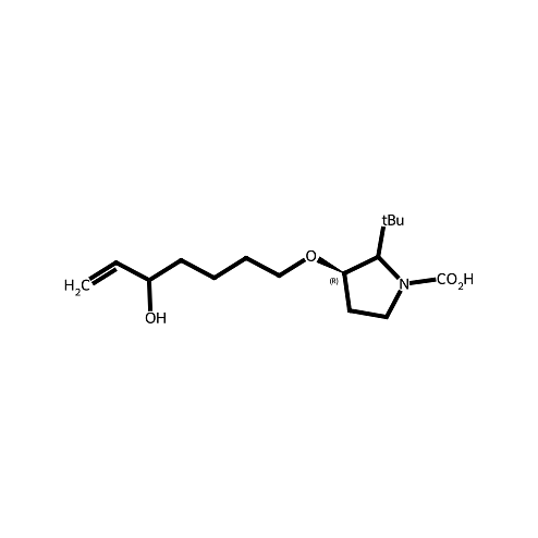 C=CC(O)CCCCO[C@@H]1CCN(C(=O)O)C1C(C)(C)C